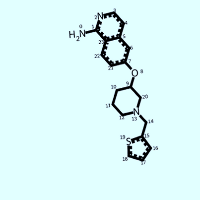 Nc1nccc2cc(OC3CCCN(Cc4cccs4)C3)ccc12